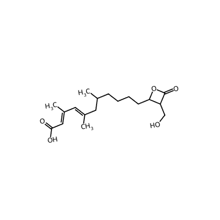 CC(=CC(=O)O)C=C(C)CC(C)CCCCC1OC(=O)C1CO